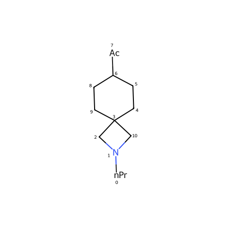 CCCN1CC2(CCC(C(C)=O)CC2)C1